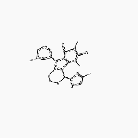 Cc1cccc(-c2c3c(=O)n(C)c(=O)n(C)c3c3n2CCSC3c2nc(C)cs2)c1